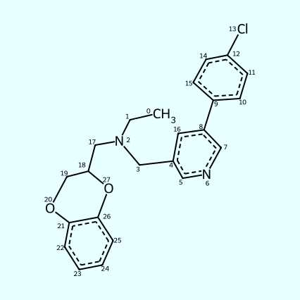 CCN(Cc1cncc(-c2ccc(Cl)cc2)c1)CC1COc2ccccc2O1